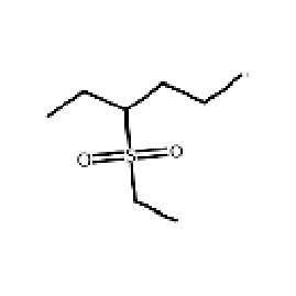 [CH2]CCC(CC)S(=O)(=O)CC